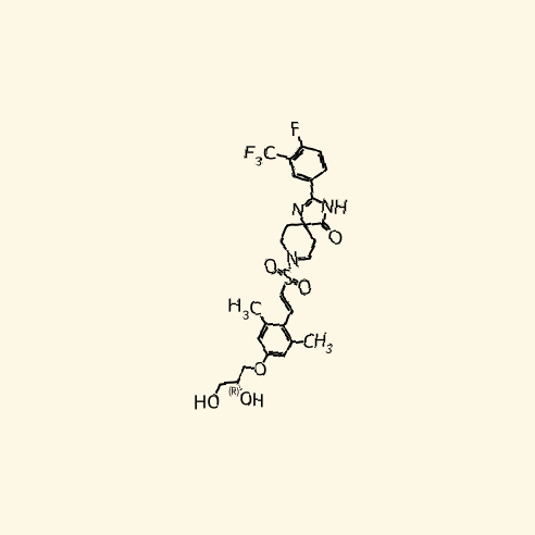 Cc1cc(OC[C@H](O)CO)cc(C)c1C=CS(=O)(=O)N1CCC2(CC1)N=C(c1ccc(F)c(C(F)(F)F)c1)NC2=O